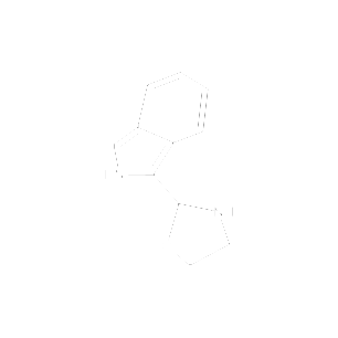 [c]1[nH]c(C2NCCO2)c2ccccc12